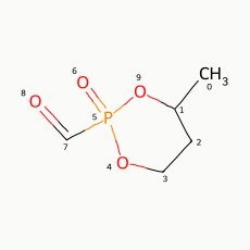 CC1CCOP(=O)(C=O)O1